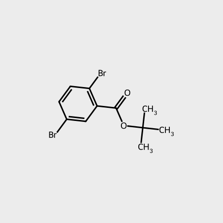 CC(C)(C)OC(=O)c1cc(Br)ccc1Br